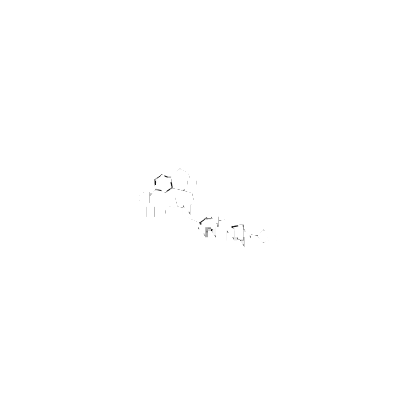 C[C@H]1C[C@@]2(CCN1Cc1cn(Cc3cn(C4COC4)nn3)nn1)OCCc1ccc(Cl)cc12